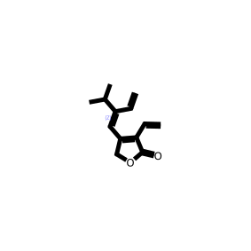 C=CC1=C(/C=C(\C=C)C(C)C)COC1=O